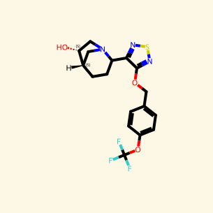 O[C@@H]1CN2C[C@@H]1CCC2c1nsnc1OCc1ccc(OC(F)(F)F)cc1